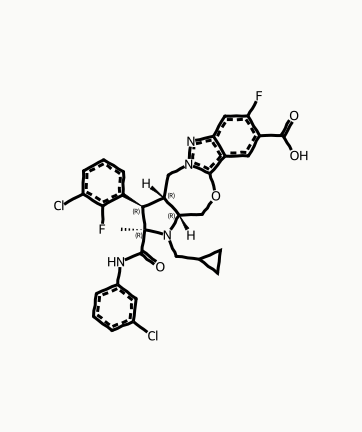 C[C@]1(C(=O)Nc2cccc(Cl)c2)[C@@H](c2cccc(Cl)c2F)[C@@H]2Cn3nc4cc(F)c(C(=O)O)cc4c3OC[C@@H]2N1CC1CC1